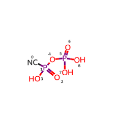 N#CP(=O)(O)OP(=O)(O)O